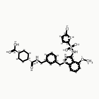 COc1cccc2c1c(NS(=O)(=O)c1ccc(Cl)s1)nn2Cc1cccc(CNC(=O)[C@H]2CC[C@H](C(=O)O)CC2)c1